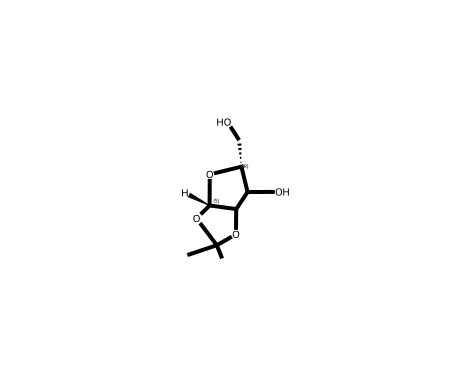 CC1(C)OC2C(O)[C@@H](CO)O[C@H]2O1